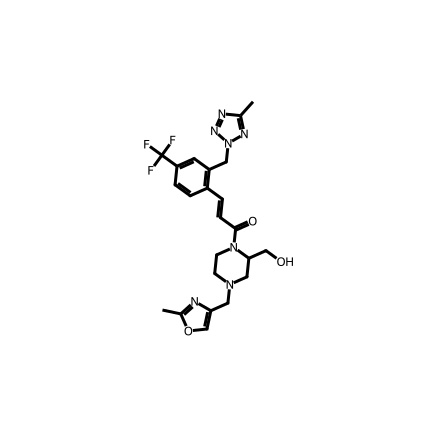 Cc1nnn(Cc2cc(C(F)(F)F)ccc2C=CC(=O)N2CCN(Cc3coc(C)n3)CC2CO)n1